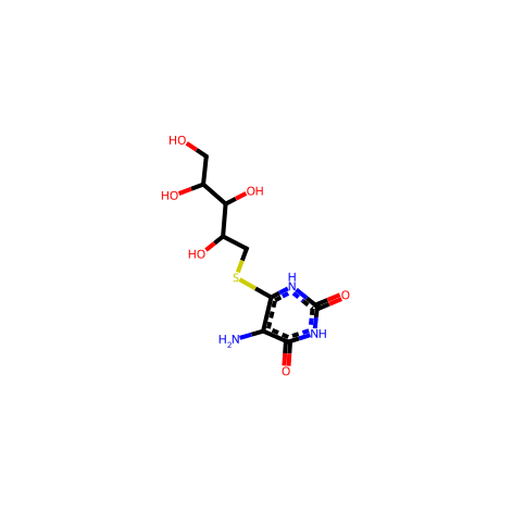 Nc1c(SCC(O)C(O)C(O)CO)[nH]c(=O)[nH]c1=O